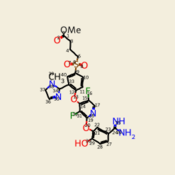 COC(=O)CCCS(=O)(=O)c1ccc(Oc2c(F)cnc(Oc3cc(C(=N)N)ccc3O)c2F)c(C2N=CCN2C)c1